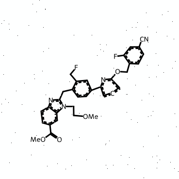 COCCn1c(Cc2ccc(-c3cccc(OCc4ccc(C#N)cc4F)n3)cc2CF)nc2ccc(C(=O)OC)cc21